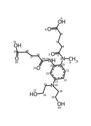 CN(C(=O)CCCC(=O)O)c1ccc(N(CCO)CCO)cc1NC(=O)CCCC(=O)O